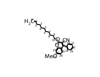 C=CCCCCCCCCCOC(=O)/C(C#N)=C(/c1ccccc1)c1ccc(OC)cc1